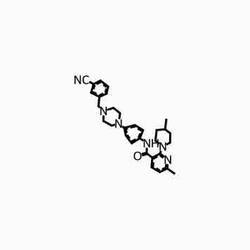 Cc1ccc(C(=O)Nc2ccc(N3CCN(Cc4cccc(C#N)c4)CC3)cc2)c(N2CCC(C)CC2)n1